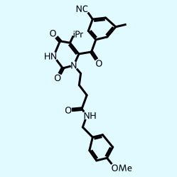 COc1ccc(CNC(=O)CCCn2c(C(=O)c3cc(C)cc(C#N)c3)c(C(C)C)c(=O)[nH]c2=O)cc1